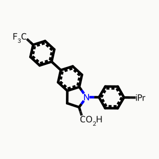 CC(C)c1ccc(N2c3ccc(-c4ccc(C(F)(F)F)cc4)cc3CC2C(=O)O)cc1